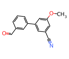 COc1cc(C#N)cc(-c2cccc(C=O)c2)c1